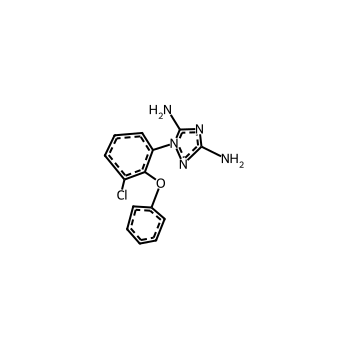 Nc1nc(N)n(-c2cccc(Cl)c2Oc2ccccc2)n1